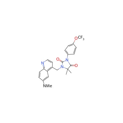 CNc1ccc2nccc(CN3C(=O)N(c4ccc(OC(F)(F)F)cc4)C(=O)C3(C)C)c2c1